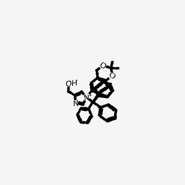 CC1(C)OCc2cc([N+]3(C(c4ccccc4)(c4ccccc4)c4ccccc4)C=NC(CO)=C3)ccc2O1